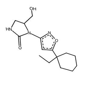 CCC1(c2cc(N3C(=O)NCC3CO)no2)CCCCC1